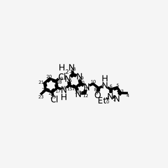 CCn1nc(C)cc1NC(=O)Cn1cnc2c(Nc3c(Cl)ccc(C)c3Cl)nc(N)nc21